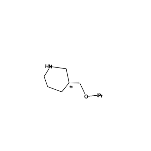 CC(C)OC[C@@H]1CCCNC1